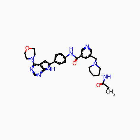 C=CC(=O)N[C@@H]1CCCN(Cc2cncc(C(=O)Nc3ccc(-c4cc5c(N6CCOCC6)ncnc5[nH]4)cc3)c2)C1